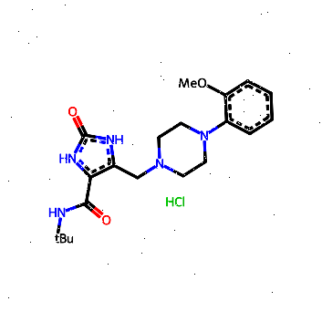 COc1ccccc1N1CCN(Cc2[nH]c(=O)[nH]c2C(=O)NC(C)(C)C)CC1.Cl